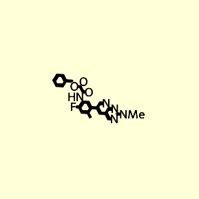 CNc1ncc2cc(-c3cc(NC(=O)C(=O)OCc4ccccc4)c(F)cc3C)cnc2n1